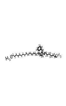 CCCCCCCCCCCCCCCCN1C=CN(CCCCCCC)C1Cc1ccccc1